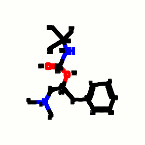 CN(C)C[C@H](Cc1ccccc1)OC(=O)NC(C)(C)C